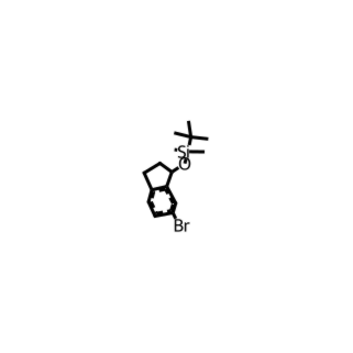 CC(C)(C)[Si](C)(C)OC1CCc2ccc(Br)cc21